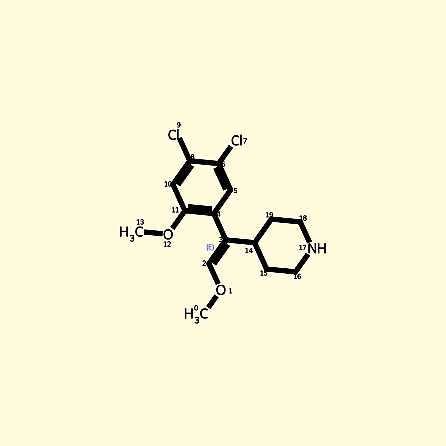 CO/C=C(/c1cc(Cl)c(Cl)cc1OC)C1CCNCC1